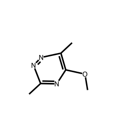 COc1nc(C)nnc1C